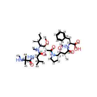 CC[C@H](C)[C@@H]([C@@H](CC(=O)N1CCC[C@H]1[C@H](OC)[C@@H](C)C(=O)N[C@@H](Cc1ccccc1)C(=O)O)OC)N(C)C(=O)[C@@H](NC(=O)C(C)(C)NC)C(C)C